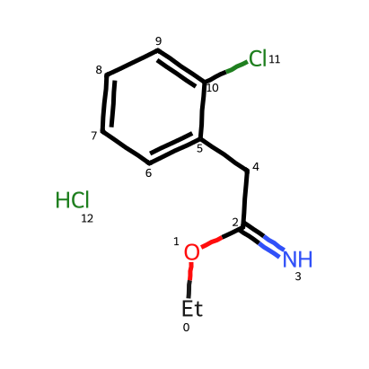 CCOC(=N)Cc1ccccc1Cl.Cl